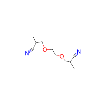 CC(C#N)COCCOCC(C)C#N